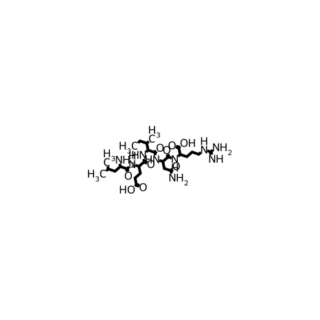 CCC(C)C(NC(=O)C(CCC(=O)O)NC(=O)C(N)CC(C)C)C(=O)NC(CC(N)=O)C(=O)NC(CCCNC(=N)N)C(=O)O